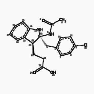 CC(=O)N[C@]1(Cc2ccc(Cl)cc2)Nc2ccccc2[C@@H]1CCC(=O)O